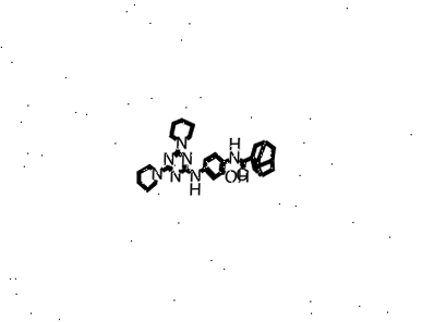 O=C(Nc1ccc(Nc2nc(N3CCCCC3)nc(N3CCCCC3)n2)cc1O)C12CC3CC(CC(C3)C1)C2